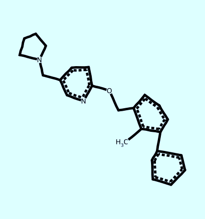 Cc1c(COc2ccc(CN3CCCC3)cn2)cccc1-c1ccccc1